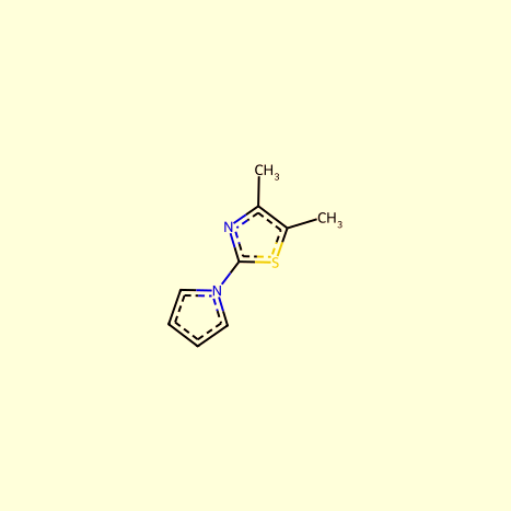 Cc1nc(-n2cccc2)sc1C